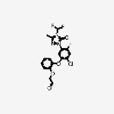 Cc1nn(-c2cc(Oc3ccccc3OCC=O)c(Cl)cc2F)c(=O)n1C(F)F